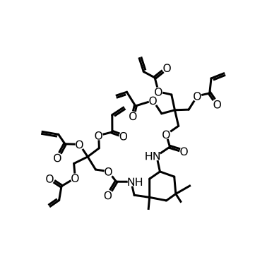 C=CC(=O)OCC(COC(=O)C=C)(COC(=O)C=C)COC(=O)NC1CC(C)(C)CC(C)(CNC(=O)OCC(COC(=O)C=C)(COC(=O)C=C)OC(=O)C=C)C1